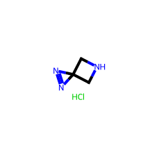 C1NCC12N=N2.Cl